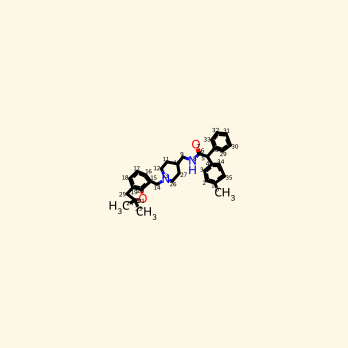 Cc1ccc(C(C(=O)NCC2CCN(Cc3cccc4c3OC(C)(C)C4)CC2)c2ccccc2)cc1